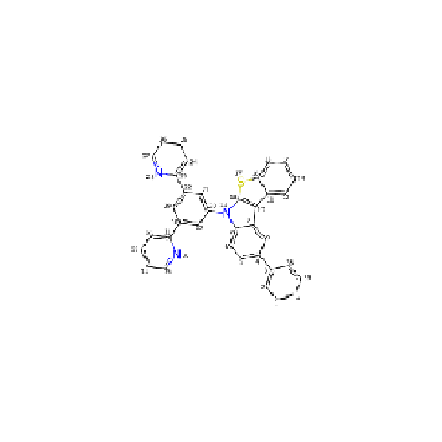 c1ccc(-c2ccc3c(c2)c2c4ccccc4sc2n3-c2cc(-c3ccccn3)cc(-c3ccccn3)c2)cc1